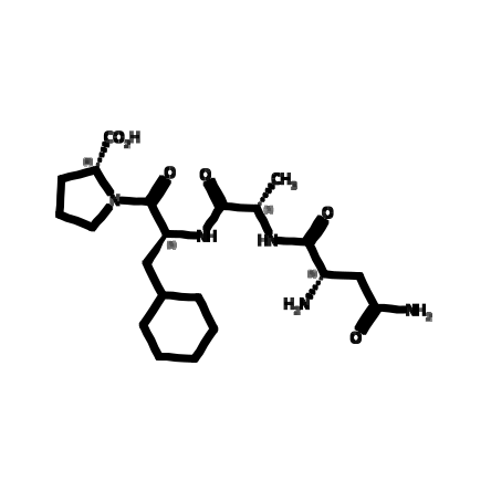 C[C@H](NC(=O)[C@@H](N)CC(N)=O)C(=O)N[C@@H](CC1CCCCC1)C(=O)N1CCC[C@@H]1C(=O)O